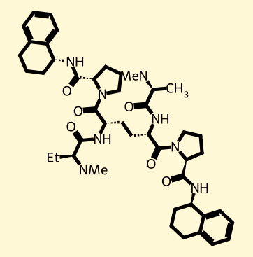 CC[C@H](NC)C(=O)N[C@@H](CC[C@H](NC(=O)[C@H](C)NC)C(=O)N1CCC[C@H]1C(=O)N[C@@H]1CCCc2ccccc21)C(=O)N1CCC[C@H]1C(=O)N[C@@H]1CCCc2ccccc21